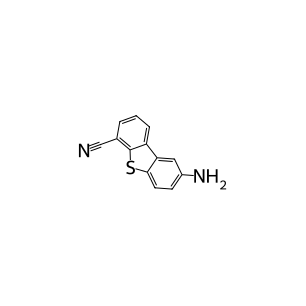 N#Cc1cccc2c1sc1ccc(N)cc12